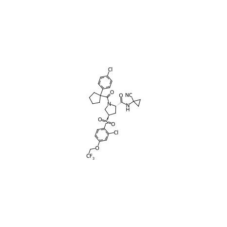 N#CC1(NC(=O)[C@@H]2C[C@@H](S(=O)(=O)c3ccc(OCC(F)(F)F)cc3Cl)CN2C(=O)C2(c3ccc(Cl)cc3)CCCC2)CC1